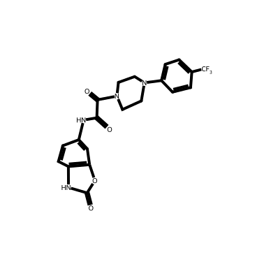 O=C(Nc1ccc2[nH]c(=O)oc2c1)C(=O)N1CCN(c2ccc(C(F)(F)F)cc2)CC1